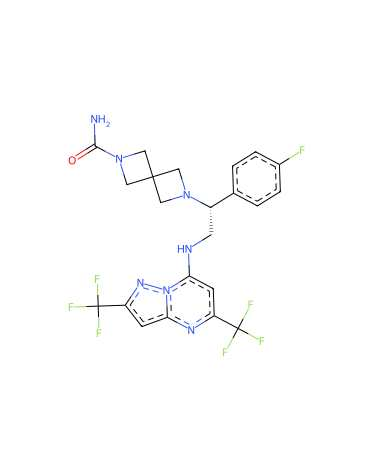 NC(=O)N1CC2(C1)CN([C@@H](CNc1cc(C(F)(F)F)nc3cc(C(F)(F)F)nn13)c1ccc(F)cc1)C2